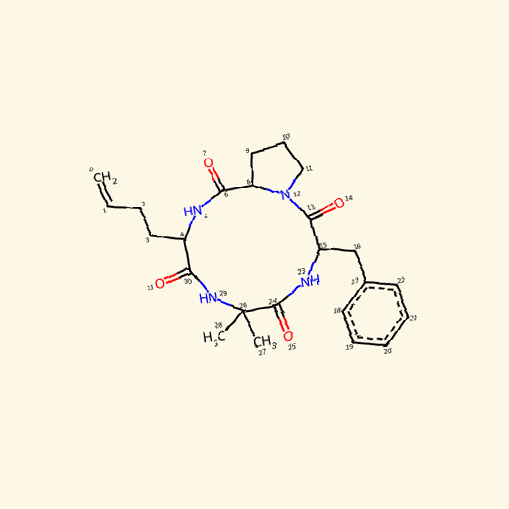 C=CCCC1NC(=O)C2CCCN2C(=O)C(Cc2ccccc2)NC(=O)C(C)(C)NC1=O